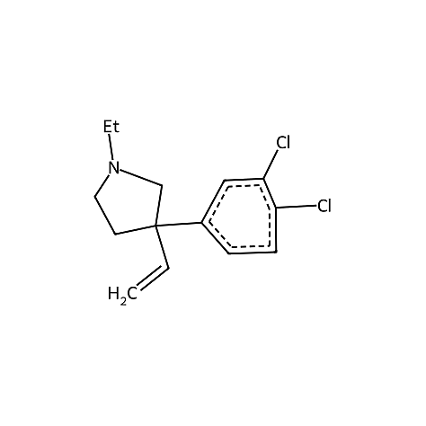 C=CC1(c2ccc(Cl)c(Cl)c2)CCN(CC)C1